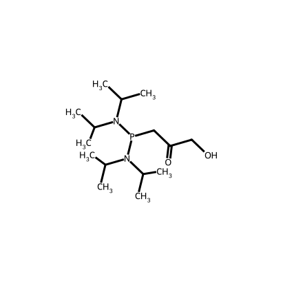 CC(C)N(C(C)C)P(CC(=O)CO)N(C(C)C)C(C)C